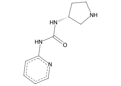 O=C(Nc1ccccn1)N[C@@H]1CCNC1